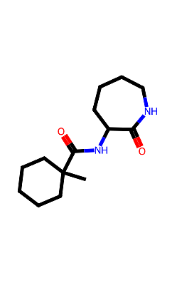 CC1(C(=O)NC2CCCCNC2=O)CCCCC1